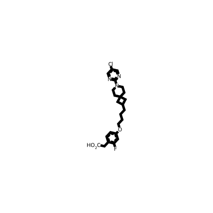 O=C(O)Cc1ccc(OCCCCC2CC3(CCN(c4ncc(Cl)cn4)CC3)C2)cc1F